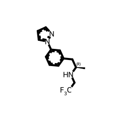 C[C@H](Cc1cccc(-n2cccn2)c1)NCC(F)(F)F